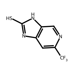 FC(F)(F)c1cc2nc(S)[nH]c2cn1